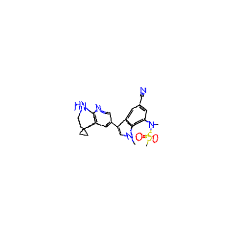 CN(c1cc(C#N)cc2c(-c3cnc4c(c3)C3(CC3)CN4)cn(C)c12)S(C)(=O)=O